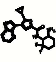 NC1CCCC(F)(F)C1NC(=O)c1cc(-c2cnc3cccnn23)c(C2CC2)s1